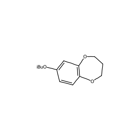 CC(C)COc1ccc2c(c1)OCCCO2